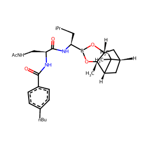 CCCCc1ccc(C(=O)N[C@@H](CNC(C)=O)C(=O)N[C@@H](CC(C)C)B2O[C@@H]3C[C@@H]4C[C@@H](C4(C)C)[C@]3(C)O2)cc1